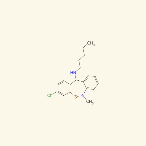 CCCCCNC1c2ccc(Cl)cc2SN(C)c2ccccc21